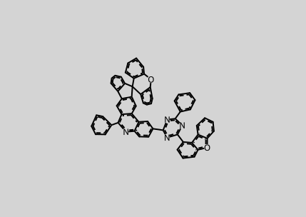 c1ccc(-c2nc(-c3ccc4nc(-c5ccccc5)c5cc6c(cc5c4c3)C3(c4ccccc4Oc4ccccc43)c3ccccc3-6)nc(-c3cccc4oc5ccccc5c34)n2)cc1